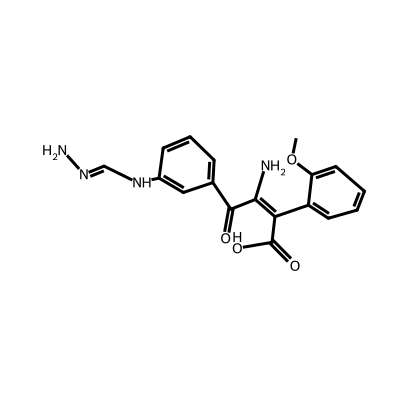 COc1ccccc1C(C(=O)O)=C(N)C(=O)c1cccc(NC=NN)c1